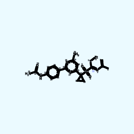 C=C(C)/N=C(\SCC)S(=O)(=O)C1(c2cc(N)nc(-c3ccc(NC(N)=O)cc3)n2)CC1